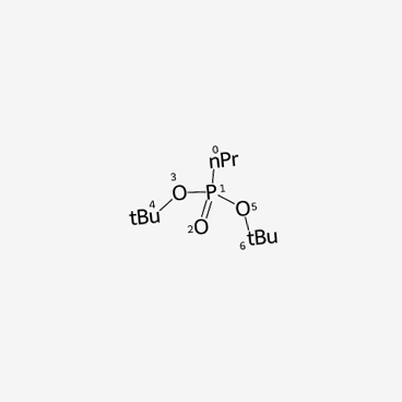 [CH2]CCP(=O)(OC(C)(C)C)OC(C)(C)C